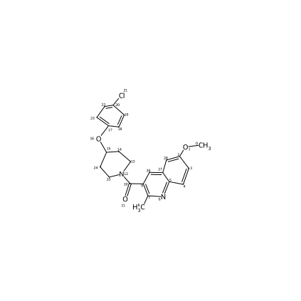 COc1ccc2nc(C)c(C(=O)N3CCC(Oc4ccc(Cl)cc4)CC3)cc2c1